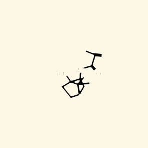 C=C(C)C(=O)OC1CC2CCC1(CCC)C2(C)C